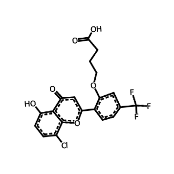 O=C(O)CCCOc1cc(C(F)(F)F)ccc1-c1cc(=O)c2c(O)ccc(Cl)c2o1